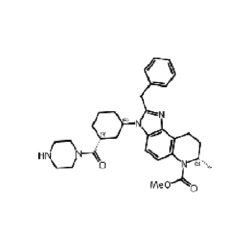 COC(=O)N1c2ccc3c(nc(Cc4ccccc4)n3[C@@H]3CCC[C@@H](C(=O)N4CCNCC4)C3)c2CC[C@@H]1C